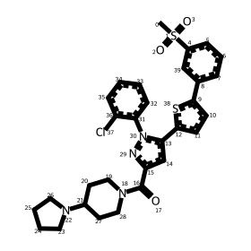 CS(=O)(=O)c1cccc(-c2ccc(-c3cc(C(=O)N4CCC(N5CCCC5)CC4)nn3-c3ccccc3Cl)s2)c1